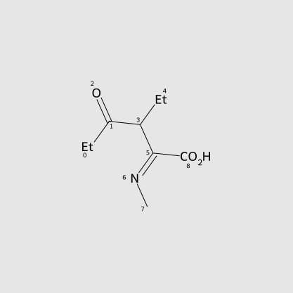 CCC(=O)C(CC)C(=NC)C(=O)O